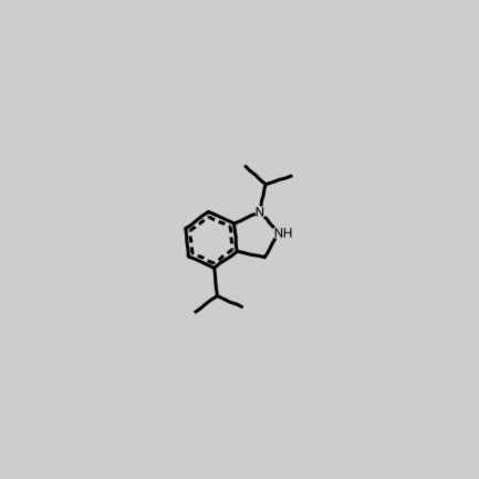 CC(C)c1cccc2c1CNN2C(C)C